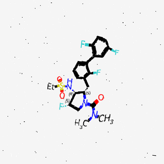 CCS(=O)(=O)N[C@H]1[C@@H](F)CN(C(=O)N(C)C)[C@H]1Cc1cccc(-c2cc(F)ccc2F)c1F